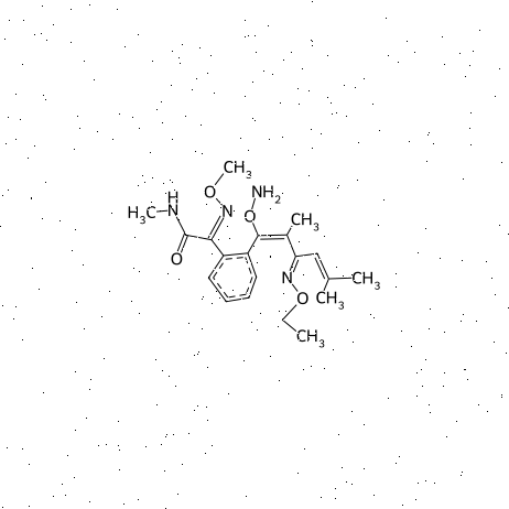 CCON=C(C=C(C)C)C(C)=C(ON)c1ccccc1C(=NOC)C(=O)NC